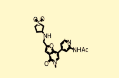 CC(=O)Nc1cc(-c2cn(C)c(=O)c3cc(CNC4CCS(=O)(=O)C4)oc23)ccn1